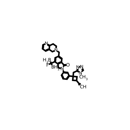 BC(B)(F)c1cc(CN2CCc3ncccc3C2)cc2c1CN(c1cccc(C3(Cc4nncn4C)CC(C#C)C3)c1)C2=O